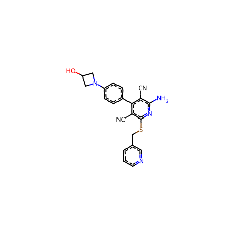 N#Cc1c(N)nc(SCc2cccnc2)c(C#N)c1-c1ccc(N2CC(O)C2)cc1